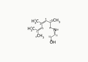 CC(C)=C/C(C)=C\C(C)C/N=C\CO